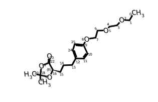 CCOCCOCCOc1ccc(CCC[C@H]2OC(C)(C)OC2=O)cc1